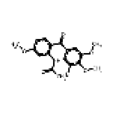 COc1ccc(C(=O)c2cc(Br)c(OC)c(OC)c2)c(NC(C)=O)c1